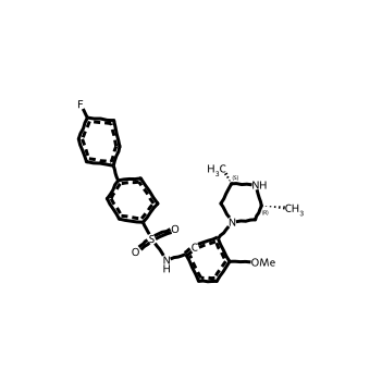 COc1ccc(NS(=O)(=O)c2ccc(-c3ccc(F)cc3)cc2)cc1N1C[C@@H](C)N[C@@H](C)C1